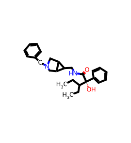 CCC(CC)[C@@](O)(C(=O)NCC1C2CN(Cc3ccccc3)CC12)c1ccccc1